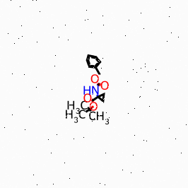 CC(C)(C)OC(=O)C1(NC(=O)OCc2ccccc2)CC1